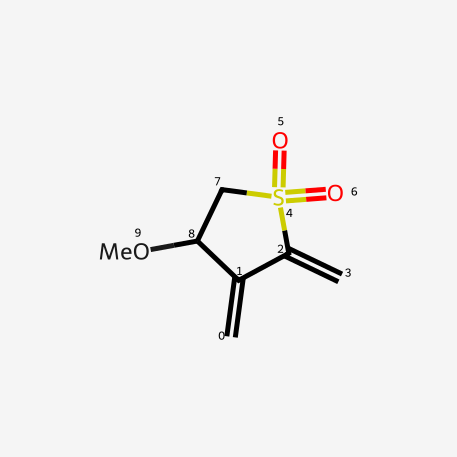 C=C1C(=C)S(=O)(=O)CC1OC